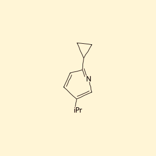 CC(C)c1ccc(C2CC2)nc1